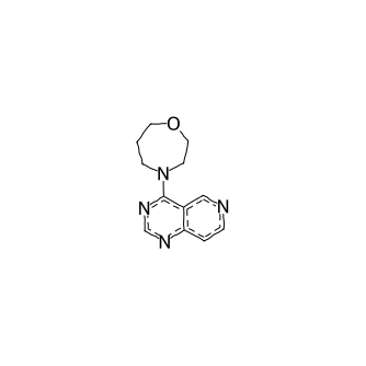 c1cc2ncnc(N3CCCOCC3)c2cn1